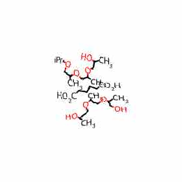 CC(O)COC(C)COC(C)CO.CC(O)COC(C)COC(C)COC(C)C.O=C(O)CCCCC(=O)O